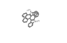 CCCn1c(-c2ccccc2)c(C(c2ccccc2)c2c(-c3ccccc3)n(CCC)c3ccccc23)c2ccccc21